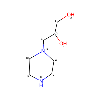 OCC(O)CN1CCNCC1